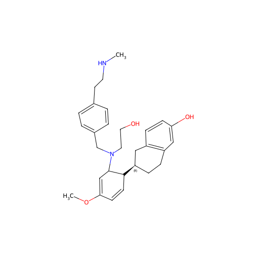 CNCCc1ccc(CN(CCO)C2C=C(OC)C=CC2[C@@H]2CCc3cc(O)ccc3C2)cc1